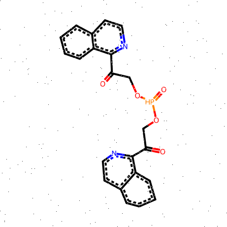 O=C(CO[PH](=O)OCC(=O)c1nccc2ccccc12)c1nccc2ccccc12